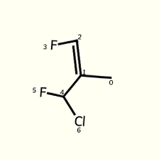 CC(=CF)C(F)Cl